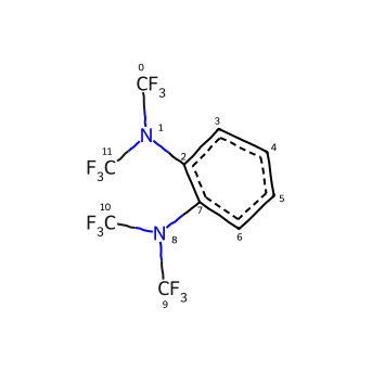 FC(F)(F)N(c1ccccc1N(C(F)(F)F)C(F)(F)F)C(F)(F)F